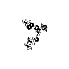 CN1CCC[C@H]1COc1nc2c(c(N3C[C@H]4CC[C@@H](C3)N4)n1)CCN(C1CC(=O)c3ccccc31)C2.O=C(O)C(F)(F)F.O=C(O)C(F)(F)F.O=C(O)C(F)(F)F